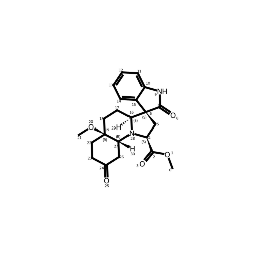 COC(=O)[C@@H]1C[C@@]2(C(=O)Nc3ccccc32)[C@@H]2CC[C@@]3(OC)CCC(=O)C[C@H]3N21